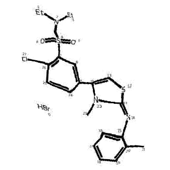 Br.CCN(CC)S(=O)(=O)c1cc(-c2cs/c(=N/c3ccccc3C)n2C)ccc1Cl